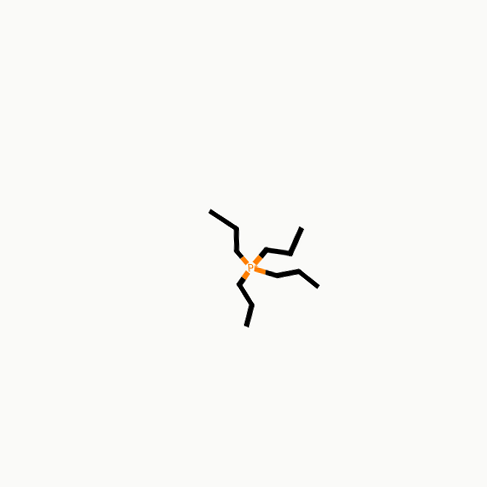 CCC[P+](CCC)(CCC)CCC